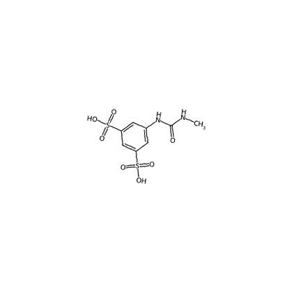 CNC(=O)Nc1cc(S(=O)(=O)O)cc(S(=O)(=O)O)c1